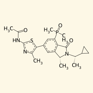 CC(=O)Nc1nc(C)c(-c2cc3c(c(P(C)(C)=O)c2)C(=O)N([C@@H](C)C2CC2)[C@@H]3C)s1